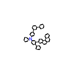 c1ccc(-c2cccc(-c3ccc(N(c4ccccc4)c4ccc(-c5ccccc5)c(-c5ccc6c(ccc7ccc8ccccc8c76)c5)c4)cc3)c2)cc1